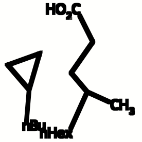 CCCCC1CC1.CCCCCCC(C)CCC(=O)O